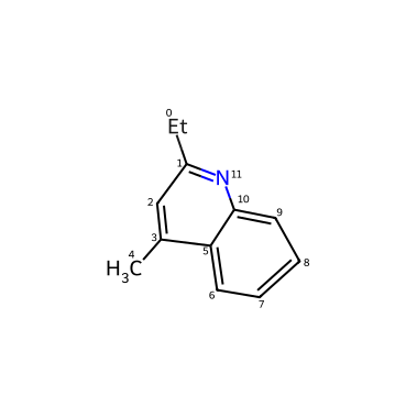 CCc1cc(C)c2ccccc2n1